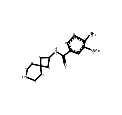 COc1cc(C(=O)NC2CC3(CCNCC3)C2)ccc1N